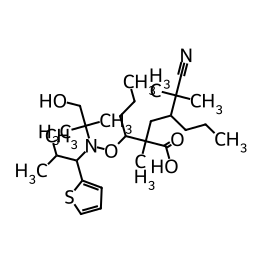 CCCC(CC(C)(C(=O)O)C(CCC)ON(C(c1cccs1)C(C)C)C(C)(C)CO)C(C)(C)C#N